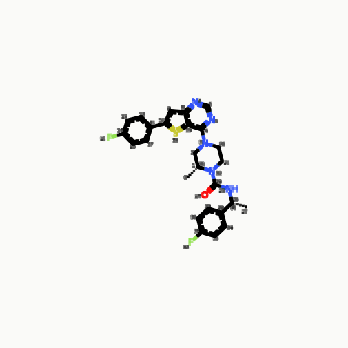 C[C@@H]1CN(c2ncnc3cc(-c4ccc(F)cc4)sc23)CCN1C(=O)N[C@H](C)c1ccc(F)cc1